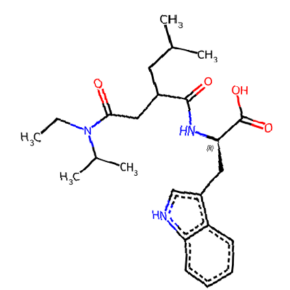 CCN(C(=O)CC(CC(C)C)C(=O)N[C@H](Cc1c[nH]c2ccccc12)C(=O)O)C(C)C